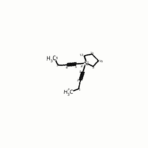 CCC#C[Si]1(C#CCC)CCCC1